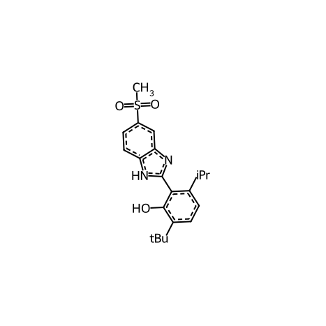 CC(C)c1ccc(C(C)(C)C)c(O)c1-c1nc2cc(S(C)(=O)=O)ccc2[nH]1